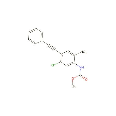 CC(C)(C)OC(=O)Nc1cc(Cl)c(C#Cc2ccccc2)cc1[N+](=O)[O-]